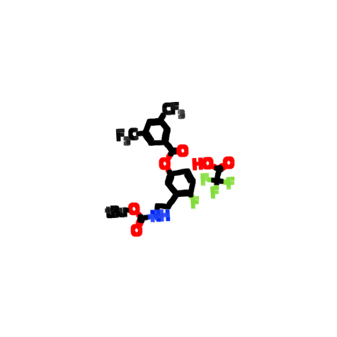 CC(C)(C)OC(=O)NCCc1cc(OC(=O)c2cc(C(F)(F)F)cc(C(F)(F)F)c2)ccc1F.O=C(O)C(F)(F)F